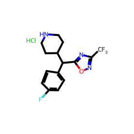 Cl.Fc1ccc(C(c2nc(C(F)(F)F)no2)C2CCNCC2)cc1